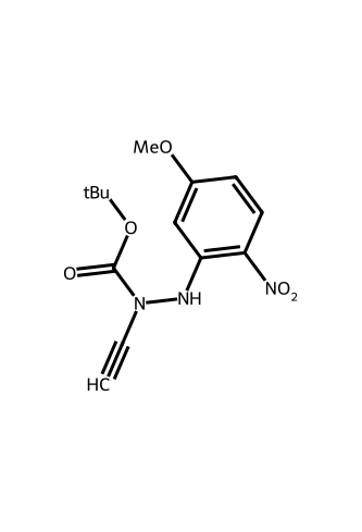 C#CN(Nc1cc(OC)ccc1[N+](=O)[O-])C(=O)OC(C)(C)C